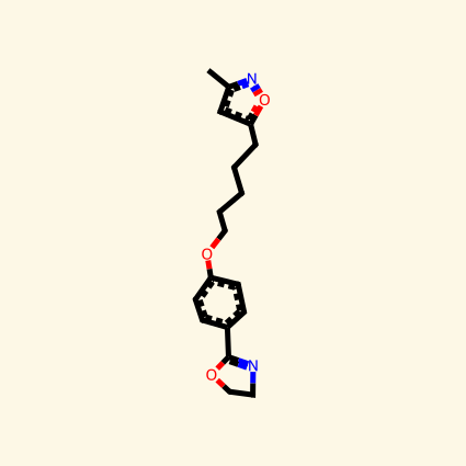 Cc1cc(CCCCCOc2ccc(C3=NCCO3)cc2)on1